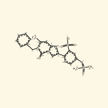 CCS(=O)(=O)c1cc(N=S(C)(C)=O)cnc1-c1cn2c(=O)n(Cc3ccccc3)c(C(F)(F)F)cc2n1